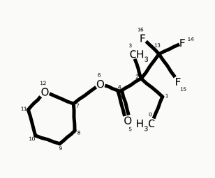 CCC(C)(C(=O)OC1CCCCO1)C(F)(F)F